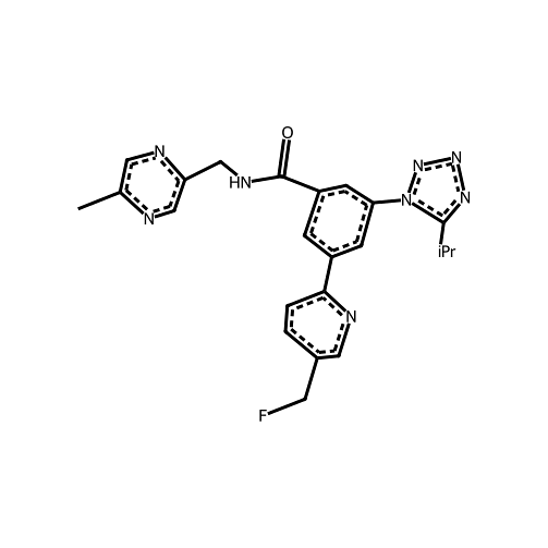 Cc1cnc(CNC(=O)c2cc(-c3ccc(CF)cn3)cc(-n3nnnc3C(C)C)c2)cn1